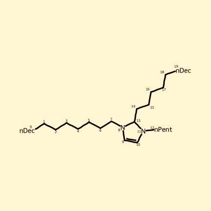 CCCCCCCCCCCCCCCCCN1C=CN(CCCCC)C1CCCCCCCCCCCCCCC